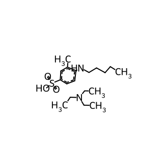 CCCCCNc1ccc(S(=O)(=O)O)cc1C.CCN(CC)CC